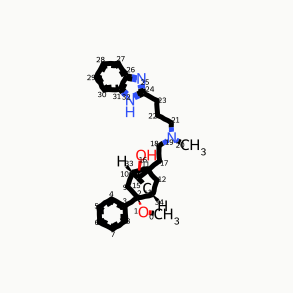 CO[C@]1(c2ccccc2)C[C@@H]2CC[C@H]1C[C@@]2(O)CCN(C)CCCc1nc2ccccc2[nH]1